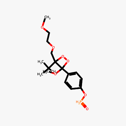 COCCOCC1(C(C)(C)C)OOC1(OC)c1ccc(O[PH2]=O)cc1